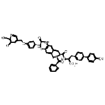 N#Cc1ccc(-c2ccc(CC(NC(=O)[C@@H]3Cc4cc5c(cc4CN3C(=O)c3ccccc3)O[C@@H](c3ccc(OCc4cnc(Cl)c(Cl)c4)cc3)C(=O)N5)C(=O)O)cc2)cc1